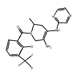 CC1CC(Nc2cnccn2)=C(N)CN1C(=O)c1cccc(C(F)(F)F)c1Cl